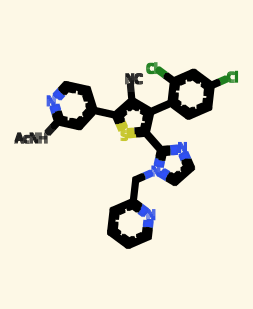 [C-]#[N+]c1c(-c2ccnc(NC(C)=O)c2)sc(-c2nccn2Cc2ccccn2)c1-c1ccc(Cl)cc1Cl